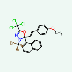 COc1ccc(C=CC2(c3cccc4ccccc34)OC(C(Cl)(Cl)Cl)=NN2C(Br)(Br)Br)cc1